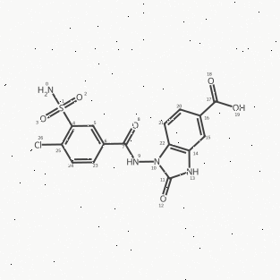 NS(=O)(=O)c1cc(C(=O)Nn2c(=O)[nH]c3cc(C(=O)O)ccc32)ccc1Cl